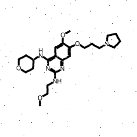 COCCNc1nc(NC2CCOCC2)c2cc(OC)c(OCCCN3CCCC3)cc2n1